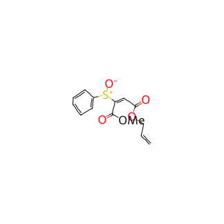 C=CCOC(=O)C=C(C(=O)OC)[S+]([O-])c1ccccc1